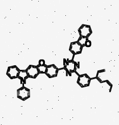 C=C/C(=C\C=C/C)c1cccc(-c2nc(-c3ccc4c(c3)oc3ccccc34)nc(-c3ccc4c(c3)oc3cc5c6ccccc6n(-c6ccccc6)c5cc34)n2)c1